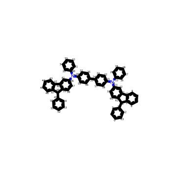 c1ccc(C2c3ccccc3-c3cc(N(c4ccccc4)c4ccc(-c5ccc(N(c6ccccc6)c6ccc7c(c6)-c6ccccc6C7c6ccccc6)cc5)cc4)ccc32)cc1